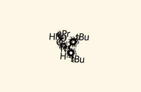 CCCNC(=O)O[C@H]1CN[C@@H](C(c2ccc(C(C)(C)C)cc2)c2ccc(C(C)(C)C)cc2)C1